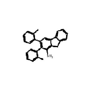 Cc1ccccc1-c1cc2c(c(N)c1-c1ccccc1C)Cc1ccccc1-2